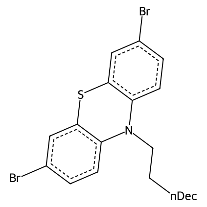 CCCCCCCCCCCCN1c2ccc(Br)cc2Sc2cc(Br)ccc21